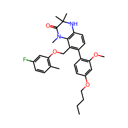 CCCCOc1ccc(-c2ccc3c(c2COc2cc(F)ccc2C)N(C)C(=O)C(C)(C)N3)c(OC)c1